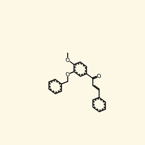 COc1ccc(C(=O)/C=C/c2ccccc2)cc1OCc1ccccc1